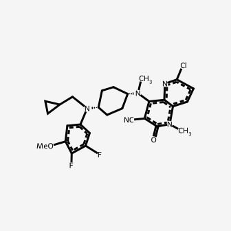 COc1cc(N(CC2CC2)[C@H]2CC[C@@H](N(C)c3c(C#N)c(=O)n(C)c4ccc(Cl)nc34)CC2)cc(F)c1F